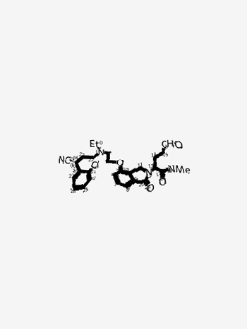 CCN(CCOc1cccc2c1CN(C(CCC=O)C(=O)NC)C2=O)CC[C@@H](C#N)c1ccccc1Cl